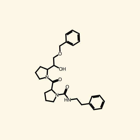 O=C(NCCc1ccccc1)N1CCCC1C(=O)N1CCCC1C(O)COCc1ccccc1